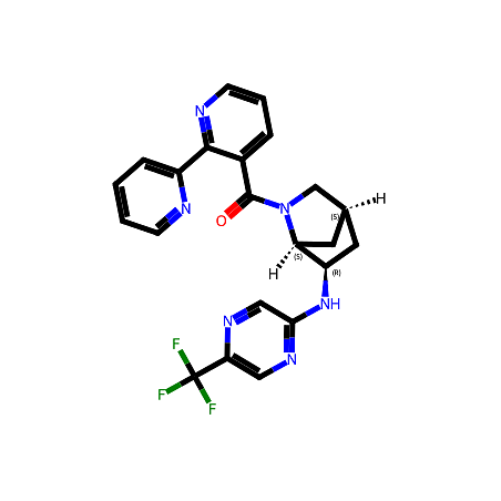 O=C(c1cccnc1-c1ccccn1)N1C[C@H]2C[C@@H](Nc3cnc(C(F)(F)F)cn3)[C@@H]1C2